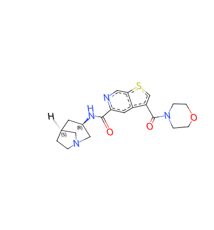 O=C(N[C@@H]1C[C@@H]2CCN(C2)C1)c1cc2c(C(=O)N3CCOCC3)csc2cn1